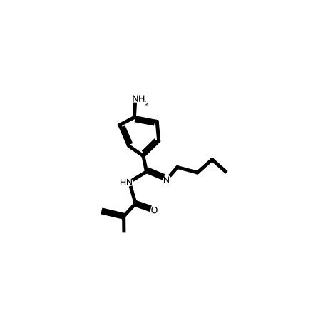 C=C(C)C(=O)N/C(=N/CCCC)c1ccc(N)cc1